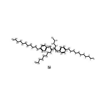 CCCCCCCCCCCc1ccc(/N=C(CCCC)/C(CCCCCCCC)=N/c2ccc(CCCCCCCCCCC)cc2)cc1.[Ni]